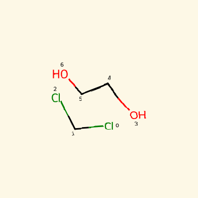 ClCCl.OCCO